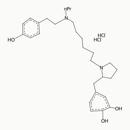 CCCN(CCCCCCN1CCCC1Cc1ccc(O)c(O)c1)CCc1ccc(O)cc1.Cl.Cl